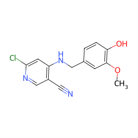 COc1cc(CNc2cc(Cl)ncc2C#N)ccc1O